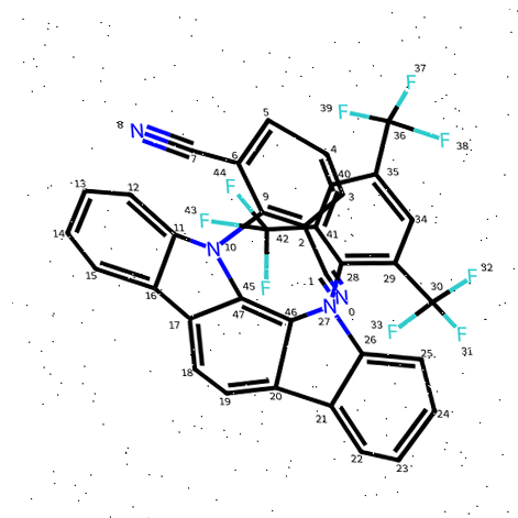 N#Cc1cccc(C#N)c1-n1c2ccccc2c2ccc3c4ccccc4n(-c4c(C(F)(F)F)cc(C(F)(F)F)cc4C(F)(F)F)c3c21